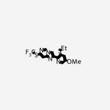 CCSc1cc(OC)cnc1-c1cn2cnc(SC(F)(F)F)cc2n1